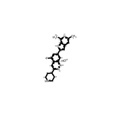 Cc1cc2cc(-c3cc(F)c4cc(C5CCNCC5)nnc4c3)oc2c(C)n1.Cl